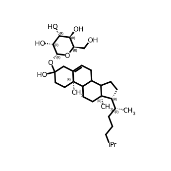 CC(C)CCC[C@@H](C)[C@H]1CCC2C3CC=C4CC(O)(O[C@H]5O[C@H](CO)[C@H](O)[C@@H](O)[C@H]5O)CC[C@]4(C)C3CC[C@@]21C